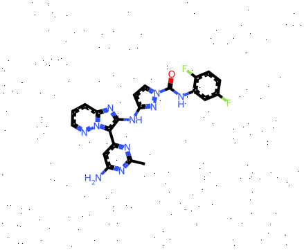 Cc1nc(N)cc(-c2c(Nc3ccn(C(=O)Nc4cc(F)ccc4F)n3)nc3cccnn23)n1